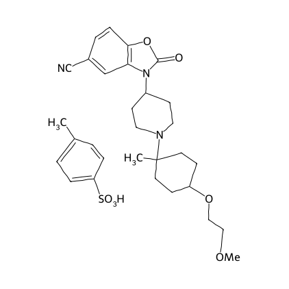 COCCOC1CCC(C)(N2CCC(n3c(=O)oc4ccc(C#N)cc43)CC2)CC1.Cc1ccc(S(=O)(=O)O)cc1